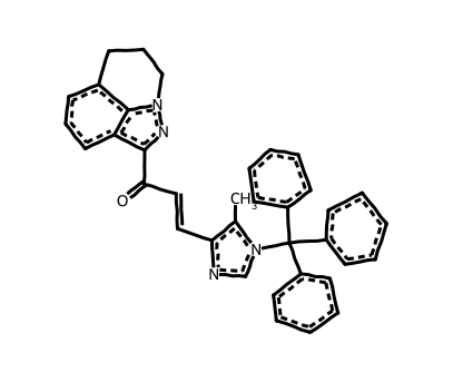 Cc1c(C=CC(=O)c2nn3c4c(cccc24)CCC3)ncn1C(c1ccccc1)(c1ccccc1)c1ccccc1